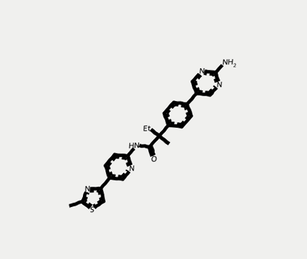 CCC(C)(C(=O)Nc1ccc(-c2csc(C)n2)cn1)c1ccc(-c2cnc(N)nc2)cc1